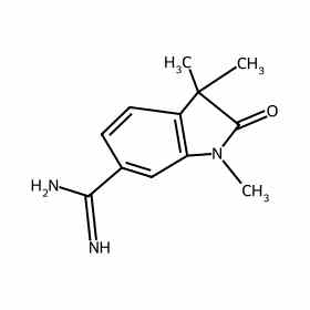 CN1C(=O)C(C)(C)c2ccc(C(=N)N)cc21